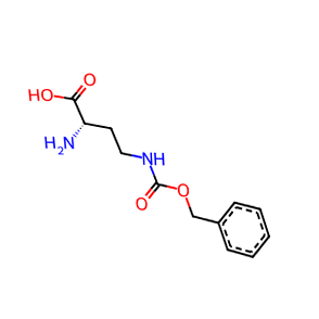 N[C@@H](CCNC(=O)OCc1ccccc1)C(=O)O